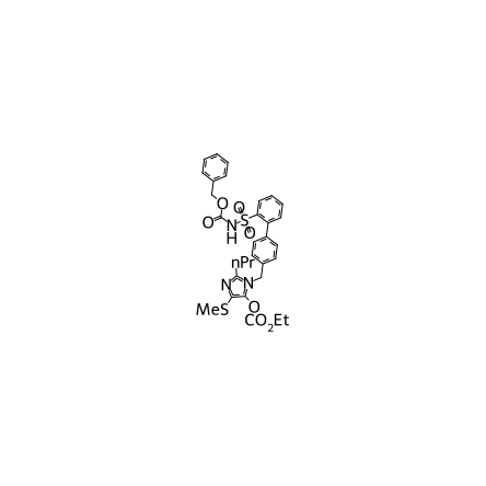 CCCc1nc(SC)c(OC(=O)OCC)n1Cc1ccc(-c2ccccc2S(=O)(=O)NC(=O)OCc2ccccc2)cc1